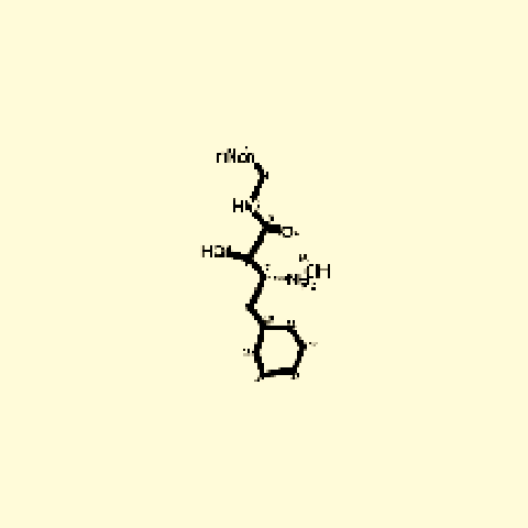 CCCCCCCCCCNC(=O)C(O)[C@H](N)CC1CCCCC1.Cl